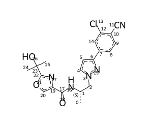 C[C@@H](Cn1ccc(-c2ccc(C#N)c(Cl)c2)n1)NC(=O)c1coc(C(C)(C)O)n1